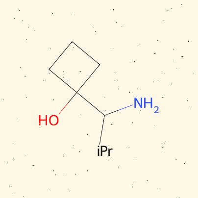 CC(C)C(N)C1(O)CCC1